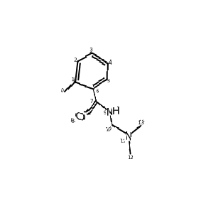 Cc1ccccc1C(=O)NCN(C)C